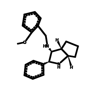 COc1ccccc1CN[C@@H]1[C@H]2CCC[C@H]2N[C@@H]1c1ccccc1